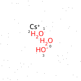 O.O.[Cs+].[OH-]